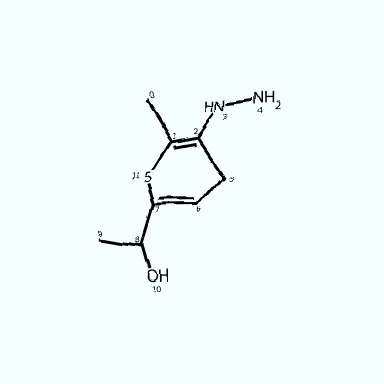 CC1=C(NN)CC=C(C(C)O)S1